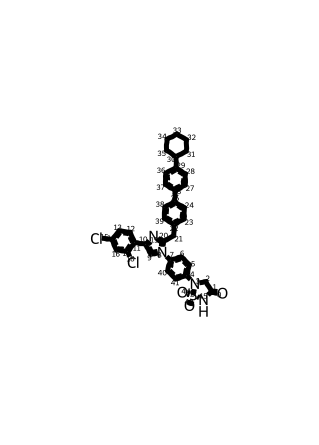 O=C1CN(c2ccc(-n3cc(-c4ccc(Cl)cc4Cl)nc3Cc3ccc(-c4ccc(C5CCCCC5)cc4)cc3)cc2)S(=O)(=O)N1